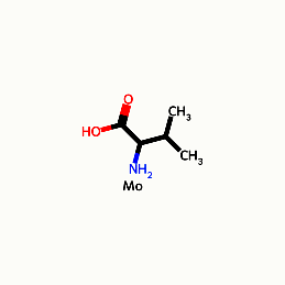 CC(C)C(N)C(=O)O.[Mo]